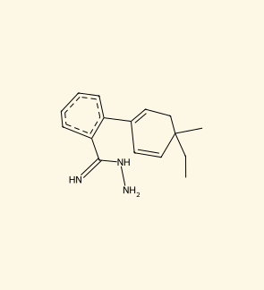 CCC1(C)C=CC(c2ccccc2C(=N)NN)=CC1